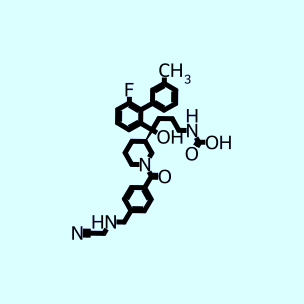 Cc1cccc(-c2c(F)cccc2C(O)(CCCNC(=O)O)[C@@H]2CCCN(C(=O)c3ccc(CNCC#N)cc3)C2)c1